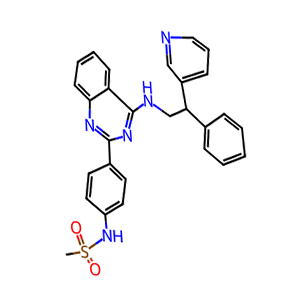 CS(=O)(=O)Nc1ccc(-c2nc(NCC(c3ccccc3)c3cccnc3)c3ccccc3n2)cc1